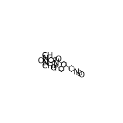 Cn1c(=O)n(C)c2cc(N3C(=O)c4cccc5c(C6=CCC(N7CCOCC7)CC6)ccc(c45)C3=O)ccc21